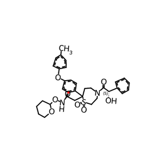 Cc1ccc(Oc2ccc(C3(CC(=O)NOC4CCCCO4)CCN(C(=O)[C@@H](O)c4ccccc4)CCS3(=O)=O)cc2)cc1